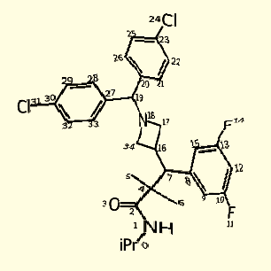 CC(C)NC(=O)C(C)(C)C(c1cc(F)cc(F)c1)C1CN(C(c2ccc(Cl)cc2)c2ccc(Cl)cc2)C1